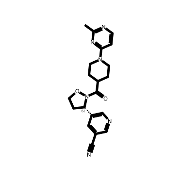 Cc1nccc(N2CCC(C(=O)N3OCC[C@H]3c3cncc(C#N)c3)CC2)n1